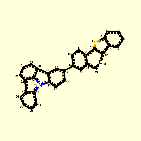 c1ccc2c(c1)sc1c3ccc(-c4ccc5c(c4)c4cccc6c7ccccc7n5c64)cc3ccc21